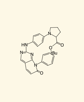 CC(C)(C)OC(=O)C1CCCN1c1ccc(Nc2ncc3ccc(=O)n(-c4ccccc4)c3n2)cc1